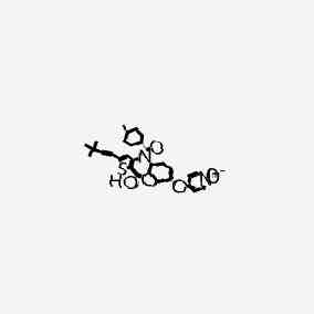 CC(C)(C)C#Cc1cc(N(C(=O)[C@H]2CC[C@H](C)CC2)C2CCC(Oc3cc[n+]([O-])cc3)CC2)c(C(=O)O)s1